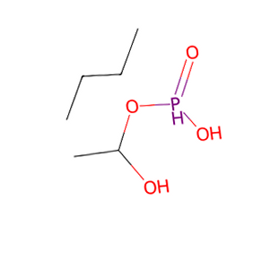 CC(O)O[PH](=O)O.CCCC